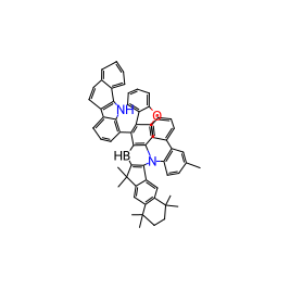 Cc1ccc(N2C3=C(Bc4c2cc2oc5ccccc5c2c4-c2cccc4c2[nH]c2c5ccccc5ccc42)C(C)(C)c2cc4c(cc23)C(C)(C)CCC4(C)C)c(-c2ccccc2)c1